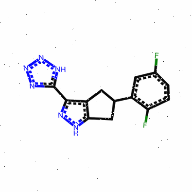 Fc1ccc(F)c(C2Cc3[nH]nc(-c4nnn[nH]4)c3C2)c1